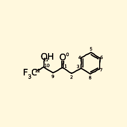 O=C(Cc1ccccc1)CC(O)C(F)(F)F